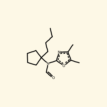 CCCCC1(N(C=O)c2nc(C)c(C)o2)CCCC1